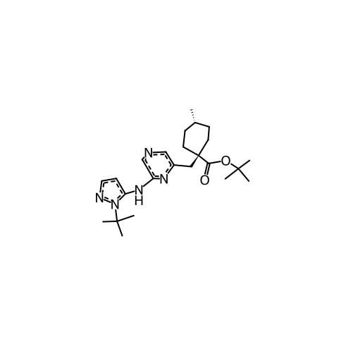 CC(C)(C)OC(=O)[C@]1(Cc2cncc(Nc3ccnn3C(C)(C)C)n2)CC[C@H](C)CC1